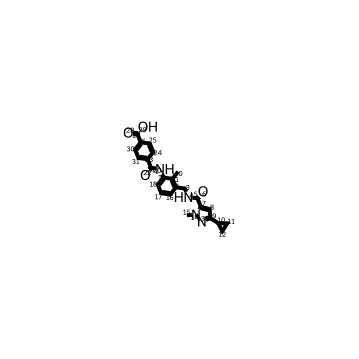 Cc1c(CNC(=O)c2cc(C3CC3)nn2C)cccc1NC(=O)c1ccc(C(=O)O)cc1